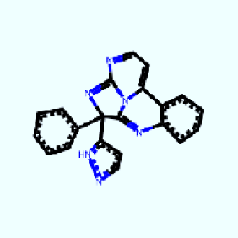 C1=NC2=NC(c3ccccc3)(c3ccn[nH]3)C3=Nc4ccccc4C(=C1)N23